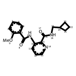 COc1ccccc1C(=O)Nc1cccnc1C(=O)NCC1CCC1